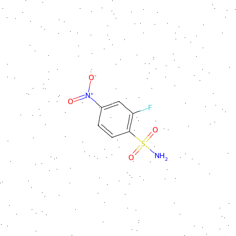 NS(=O)(=O)c1ccc([N+](=O)[O-])cc1F